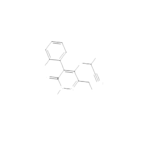 C#CC(C)Oc1c(CC)nn(C)c(=O)c1-c1ccccc1C